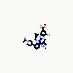 COC(=O)c1cc(OC)c2c(c1)nc(-c1cc3cccc(C4CCN(C(C)=O)CC4)c3n1CC1CC1)n2Cc1cnn(C)c1